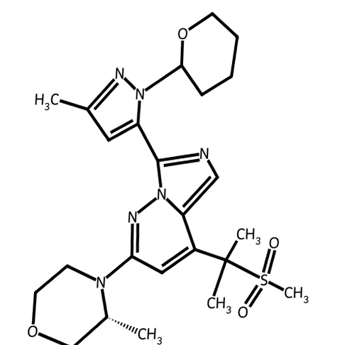 Cc1cc(-c2ncc3c(C(C)(C)S(C)(=O)=O)cc(N4CCOC[C@H]4C)nn23)n(C2CCCCO2)n1